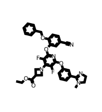 CCOC(=O)C1CN(c2c(F)c(Oc3cccc(C4=NCCN4C)c3)nc(Oc3cc(C#N)ccc3OCc3ccccc3)c2F)C1